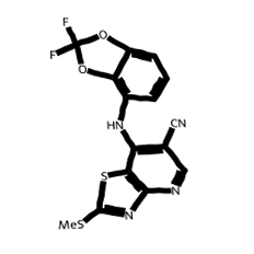 CSc1nc2ncc(C#N)c(Nc3cccc4c3OC(F)(F)O4)c2s1